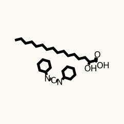 C(=NC1CCCCC1)=NC1CCCCC1.CCCCCCCCCCCCCCC(O)C(=O)O